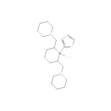 OC1(c2cccs2)C(CN2CCCCC2)CCCC1CN1CCCCC1